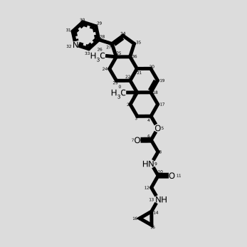 CC12CCC(OC(=O)CNC(=O)CNC3CC3)CC1=CCC1C2CCC2(C)C(c3cccnc3)=CCC12